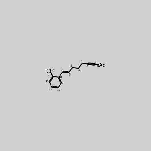 CC(=O)C#CCCCC=Cc1ccccc1Cl